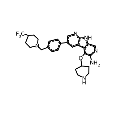 Nc1ncc2[nH]c3ncc(-c4ccc(CN5CCC(C(F)(F)F)CC5)cc4)cc3c2c1OC1CCNCC1